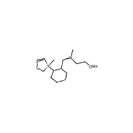 COCCN(C)CC1CCCCC1[N+]1(C)C=CSC1